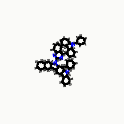 c1ccc(-n2c3ccccc3c3c(-c4nc(-n5c6cc7ccccc7cc6c6cc7c8ccccc8n8c9ccccc9c(c65)c78)nc5ccccc45)cccc32)cc1